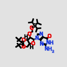 CC(C)[Si](OCO[C@@H]1[C@@H]2O[Si](C(C)(C)C)(C(C)(C)C)OC[C@H]2O[C@H]1n1cnc2c(=O)[nH]c(N)nc21)(C(C)C)C(C)C